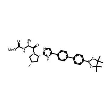 COC(=O)N[C@H](C(=O)N1C[C@@H](C)C[C@H]1c1ncc(-c2ccc(-c3ccc(B4OC(C)(C)C(C)(C)O4)cc3)cc2)[nH]1)C(C)C